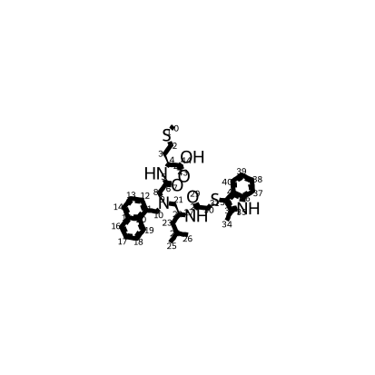 CSCC[C@H](NC(=O)CN(Cc1cccc2ccccc12)C[C@H](CC(C)C)NC(=O)CSc1c(C)[nH]c2ccccc12)C(=O)O